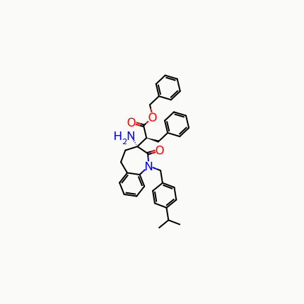 CC(C)c1ccc(CN2C(=O)[C@](N)([C@H](Cc3ccccc3)C(=O)OCc3ccccc3)CCc3ccccc32)cc1